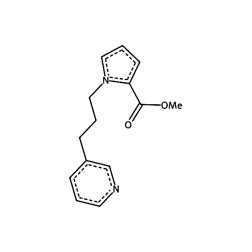 COC(=O)c1cccn1CCCc1cccnc1